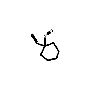 C=CC1([S+]=O)CCCCC1